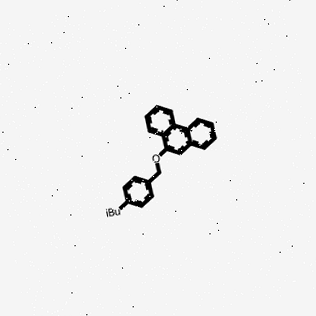 CCC(C)c1ccc(COc2cc3ccccc3c3ccccc23)cc1